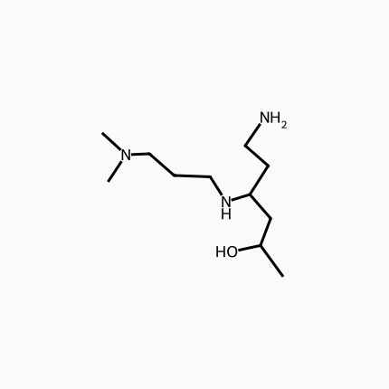 CC(O)CC(CCN)NCCCN(C)C